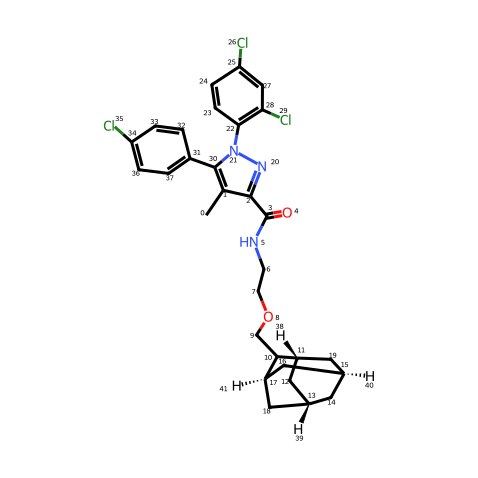 Cc1c(C(=O)NCCOCC2[C@H]3C[C@@H]4C[C@@H](C[C@H]2C4)C3)nn(-c2ccc(Cl)cc2Cl)c1-c1ccc(Cl)cc1